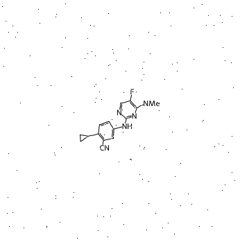 CNc1nc(Nc2ccc(C3CC3)c(C#N)c2)ncc1F